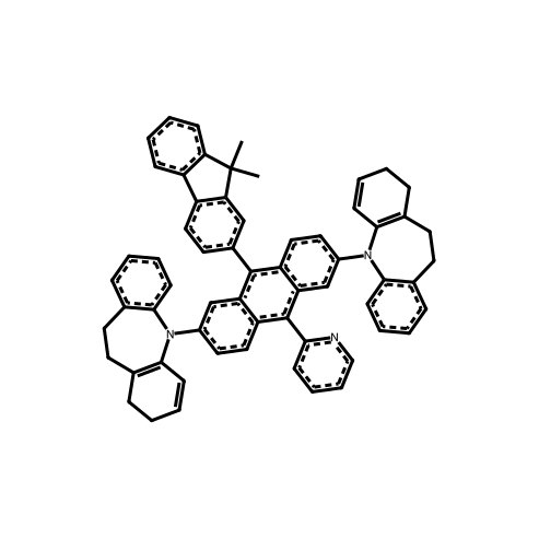 CC1(C)c2ccccc2-c2ccc(-c3c4cc(N5C6=C(CCC=C6)CCc6ccccc65)ccc4c(-c4ccccn4)c4cc(N5C6=C(CCC=C6)CCc6ccccc65)ccc34)cc21